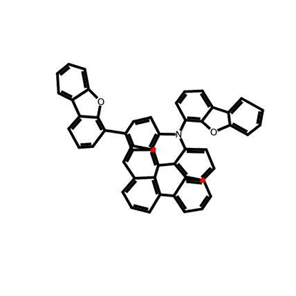 c1ccc(-c2cccc3cccc(-c4ccccc4N(c4ccc(-c5cccc6c5oc5ccccc56)cc4)c4cccc5c4oc4ccccc45)c23)cc1